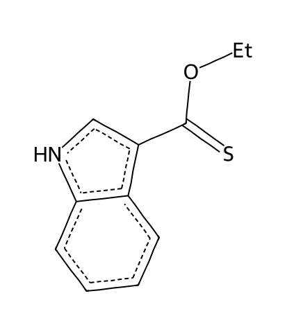 CCOC(=S)c1c[nH]c2ccccc12